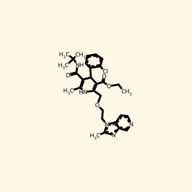 CCOC(=O)C1=C(COCCn2c(C)nc3cnccc32)NC(C)=C(C(=O)NC(C)(C)C)C1c1ccccc1Cl